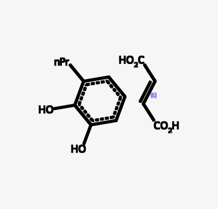 CCCc1cccc(O)c1O.O=C(O)/C=C/C(=O)O